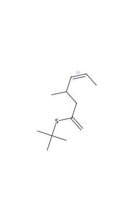 C=C(CC(C)/C=C\C)SC(C)(C)C